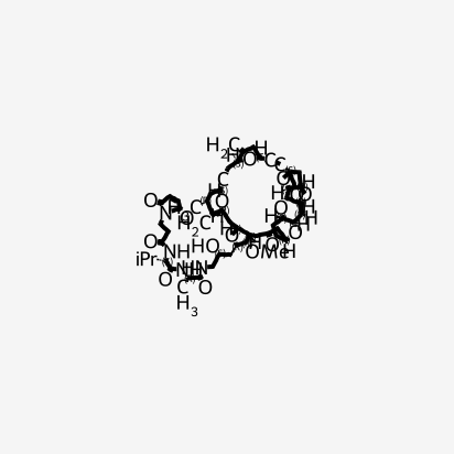 C=C1C[C@@H]2CC[C@@]34C[C@H]5O[C@@H]6C(O[C@H]7CC[C@H](CC(=O)C[C@@H]8[C@@H](OC)[C@@H](C[C@H](O)CNC(=O)[C@@H](C)NC(=O)[C@@H](NC(=O)CCN9C(=O)C=CC9=O)C(C)C)O[C@H]8C[C@H]8O[C@@H](CC[C@@H]1O2)C[C@@H](C)C8=C)O[C@@H]7[C@@H]6O3)[C@H]5O4